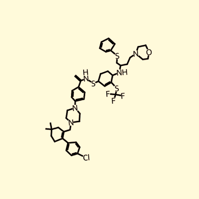 C=C(NSC1C=C(SC(F)(F)F)C(NC(CCN2CCOCC2)CSc2ccccc2)CC1)c1ccc(N2CCN(CC3=C(c4ccc(Cl)cc4)CCC(C)(C)C3)CC2)cc1